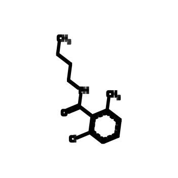 CCCCPC(=O)c1c(C)cccc1Cl